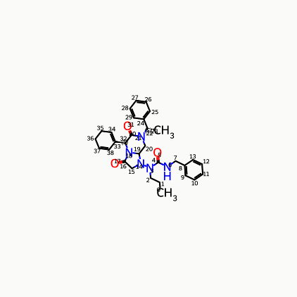 CCCN(C(=O)NCc1ccccc1)N1CC(=O)N2C1CN([C@@H](C)c1ccccc1)C(=O)[C@@H]2C1=CCCC=C1